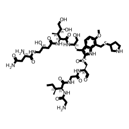 CC[C@H](C)[C@H](NC(=O)CN)C(=O)NCC(=O)N[C@H](C=O)C[S+]([O-])c1[nH]c2c(CSC3CCNC3)c(OC)ccc2c1C[C@@H](CO)NC(=O)[C@@H](NC(=O)C[C@@H](O)CNC(=O)[C@@H](N)CC(N)=O)[C@@H](C)[C@@H](O)CO